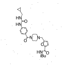 CCC(C)NC(=O)c1ccc(CN2CCN(C(=O)c3ccc(NC(=O)NCC4CC4)cc3)CC2)o1